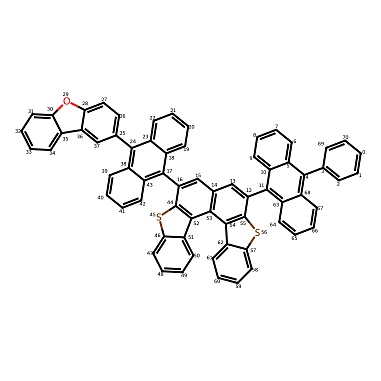 c1ccc(-c2c3ccccc3c(-c3cc4cc(-c5c6ccccc6c(-c6ccc7oc8ccccc8c7c6)c6ccccc56)c5sc6ccccc6c5c4c4c3sc3ccccc34)c3ccccc23)cc1